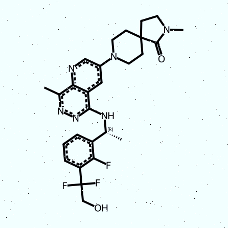 Cc1nnc(N[C@H](C)c2cccc(C(F)(F)CO)c2F)c2cc(N3CCC4(CCN(C)C4=O)CC3)cnc12